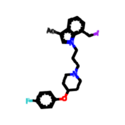 CC(=O)c1cn(CCCN2CCC(Oc3ccc(F)cc3)CC2)c2c(CI)cccc12